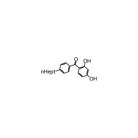 CCCCCCCc1ccc(C(=O)c2ccc(O)cc2O)cc1